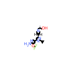 C[C@H](CO)CN1C[C@@H]2[C@H](C1)[C@H]2c1cc(-c2cnc(N)c(OC(F)F)c2)nc(C2CC2)n1